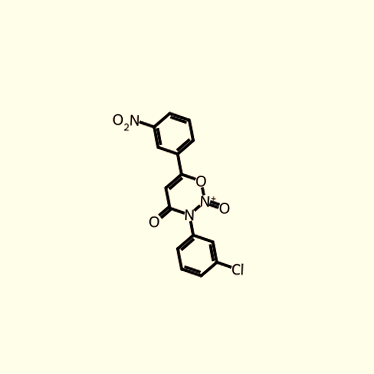 O=c1cc(-c2cccc([N+](=O)[O-])c2)o[n+](=O)n1-c1cccc(Cl)c1